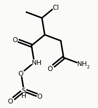 CC(Cl)C(CC(N)=O)C(=O)NO[SH](=O)=O